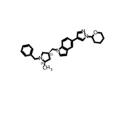 C[C@@H]1C[C@H](Cn2ccc3cc(-c4cnn(C5CCCCO5)c4)ccc32)CN1Cc1ccccc1